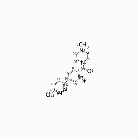 CN1CCN(C(=O)c2ccc(-c3ccc(Cl)nn3)cc2F)CC1